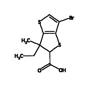 CCC1(C)c2scc(Br)c2SC1C(=O)O